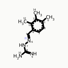 Cc1ccc(/C=N/NC(=N)N)c(C)c1C